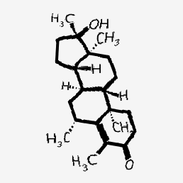 CC1=C2[C@H](C)C[C@@H]3[C@H](CC[C@@]4(C)[C@H]3CC[C@]4(C)O)[C@@]2(C)CCC1=O